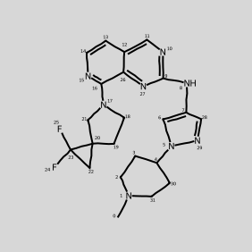 CN1CCC(n2cc(Nc3ncc4ccnc(N5CCC6(C5)CC6(F)F)c4n3)cn2)CC1